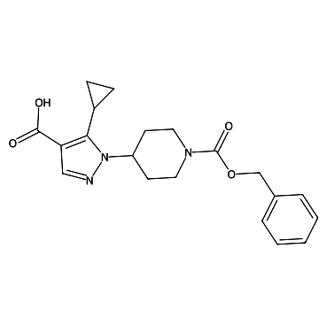 O=C(O)c1cnn(C2CCN(C(=O)OCc3ccccc3)CC2)c1C1CC1